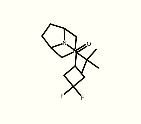 CC(C)(C)N1CC2CCC(C1)N2C(=O)C1CC(F)(F)C1